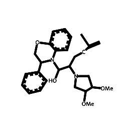 C=C(C)CCC(C(O)N1c2ccccc2OCC1c1ccccc1)N1CC(OC)C(OC)C1